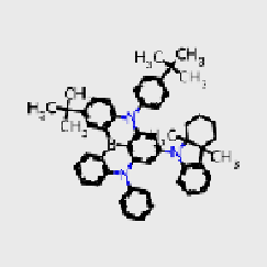 CC(C)(C)c1ccc(N2c3ccc(C(C)(C)C)cc3B3c4ccccc4N(c4ccccc4)c4cc(N5c6ccccc6C6(C)CCCCC56C)cc2c43)cc1